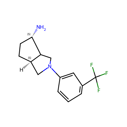 N[C@H]1CC[C@@H]2CN(c3cccc(C(F)(F)F)c3)CC21